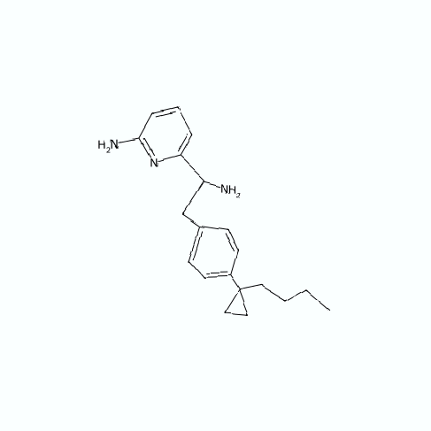 CCCCC1(c2ccc(CC(N)c3cccc(N)n3)cc2)CC1